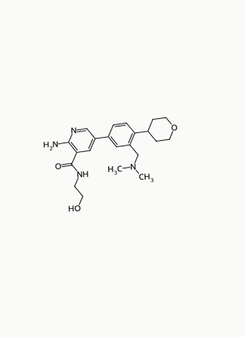 CN(C)Cc1cc(-c2cnc(N)c(C(=O)NCCO)c2)ccc1C1CCOCC1